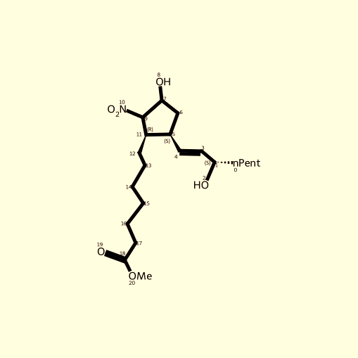 CCCCC[C@H](O)C=C[C@@H]1CC(O)C([N+](=O)[O-])[C@@H]1CCCCCCC(=O)OC